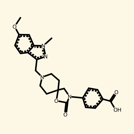 COc1ccc2c(CN3CCC4(CC3)CN(c3ccc(C(=O)O)cc3)C(=O)O4)nn(C)c2c1